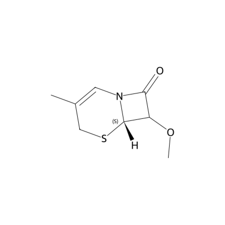 COC1C(=O)N2C=C(C)CS[C@@H]12